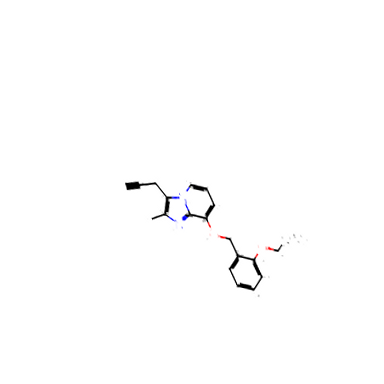 C#CCc1c(C)nc2c(OCc3ccccc3OCOC)cccn12